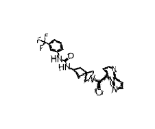 O=C(Nc1cccc(C(F)(F)F)c1)NC1CC2(C1)CN(C(=O)c1ccnc3ccnn13)C2